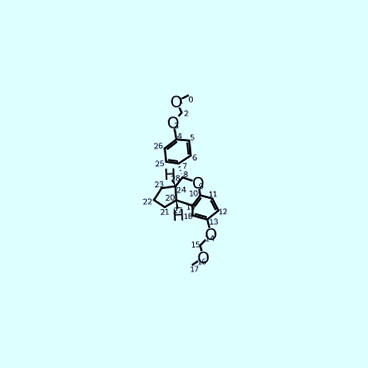 COCOc1ccc([C@@H]2Oc3ccc(OCOC)cc3[C@@H]3CCC[C@@H]32)cc1